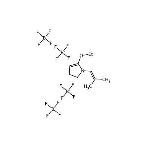 CCOC1=CCCN1C=C(C)C.F[B-](F)(F)F.F[B-](F)(F)F.F[B-](F)(F)F.F[B-](F)(F)F